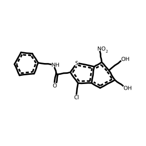 O=C(Nc1ccccc1)c1sc2c([N+](=O)[O-])c(O)c(O)cc2c1Cl